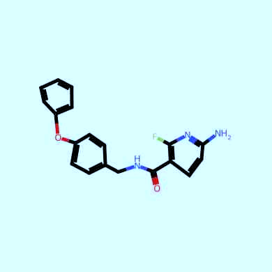 Nc1ccc(C(=O)NCc2ccc(Oc3ccccc3)cc2)c(F)n1